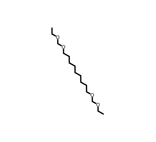 CCOCOCCCCCCCCCOCOCC